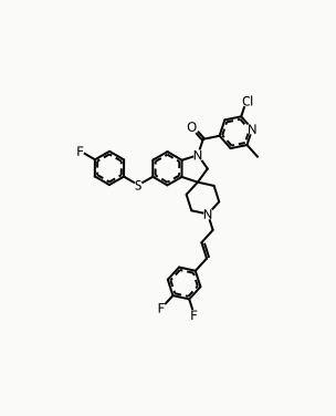 Cc1cc(C(=O)N2CC3(CCN(CC=Cc4ccc(F)c(F)c4)CC3)c3cc(Sc4ccc(F)cc4)ccc32)cc(Cl)n1